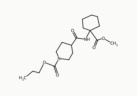 CCCOC(=O)N1CCC(C(=O)NC2(C(=O)OC)CCCCC2)CC1